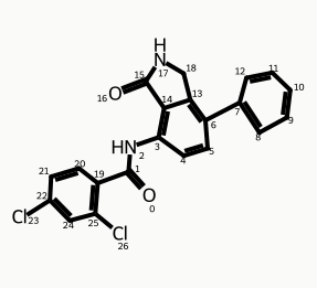 O=C(Nc1ccc(-c2ccccc2)c2c1C(=O)NC2)c1ccc(Cl)cc1Cl